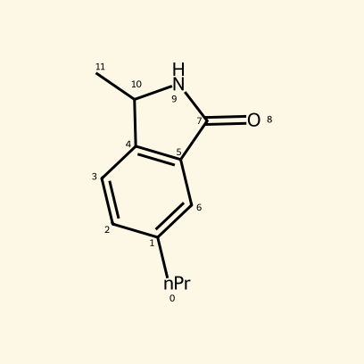 CCCc1ccc2c(c1)C(=O)NC2C